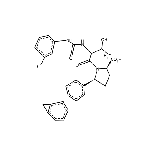 CC(O)C(NC(=O)Nc1cccc(Cl)c1)C(=O)N1[C@@H](C(=O)O)CC[C@H]1c1ccccc1.c1ccc2c(c1)C2